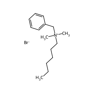 CCCCCC[N+](C)(C)Cc1ccccc1.[Br-]